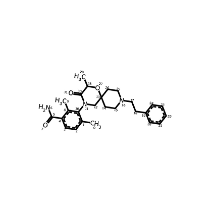 Cc1ccc(C(N)=O)c(C)c1N1CC2(CCN(CCc3ccccc3)CC2)OC(C)C1=O